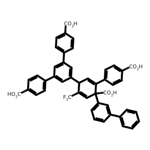 O=C(O)c1ccc(C2=CC(c3cc(-c4ccc(C(=O)O)cc4)cc(-c4ccc(C(=O)O)cc4)c3)C(C(F)(F)F)=CC2(C(=O)O)c2cccc(-c3ccccc3)c2)cc1